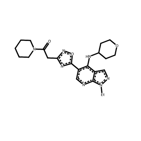 CCn1ncc2c(NC3CCOCC3)c(-c3nc(CC(=O)N4CCCCC4)no3)cnc21